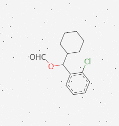 O=[C]OC(c1ccccc1Cl)C1CCCCC1